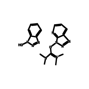 CN(C)C(On1nnc2cccnc21)=[N+](C)C.On1nnc2ccccc21